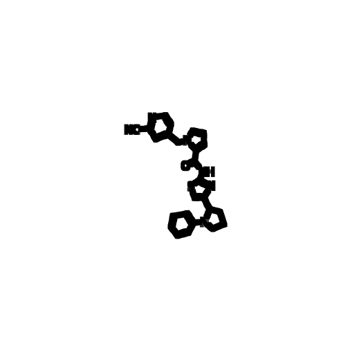 N#Cc1cc(Cn2cccc2C(=O)Nc2nc(C3CCCN3c3ccccc3)cs2)ccn1